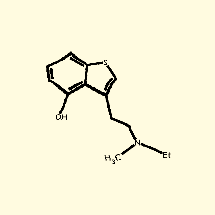 CCN(C)CCc1csc2cccc(O)c12